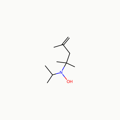 C=C(C)CC(C)(C)N(O)C(C)C